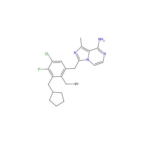 Cc1nc(Cc2cc(Cl)c(F)c(CC3CCCC3)c2CC(C)C)n2ccnc(N)c12